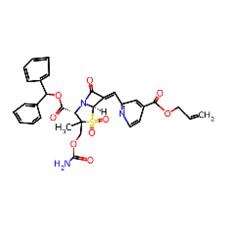 C=CCOC(=O)c1ccnc(/C=C2/C(=O)N3[C@@H](C(=O)OC(c4ccccc4)c4ccccc4)C(C)(COC(N)=O)S(=O)(=O)[C@H]23)c1